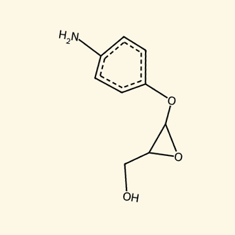 Nc1ccc(OC2OC2CO)cc1